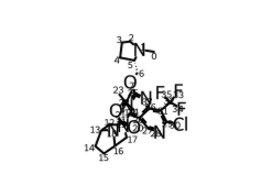 CN1CCC[C@H]1COc1nc(N2CC3CCC(C2)N3C(=O)OC(C)(C)C)c2cnc(Cl)c(C(F)(F)F)c2n1